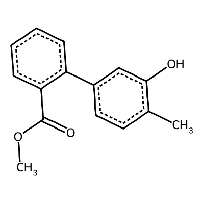 COC(=O)c1ccccc1-c1ccc(C)c(O)c1